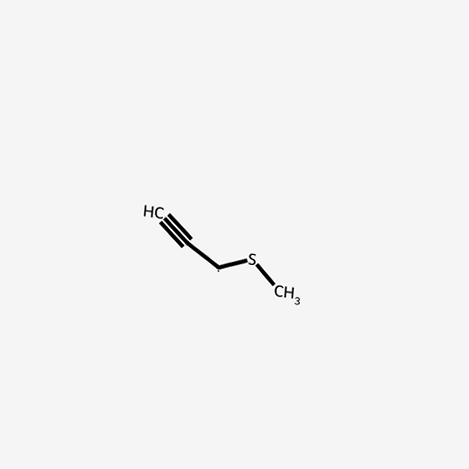 C#C[CH]SC